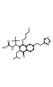 CCCCOc1c(C(NC(=O)O)C(C)(C)C)n(CC(C)C)c(=O)c2ccc(CCc3cscn3)cc12